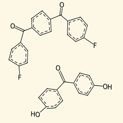 O=C(c1ccc(F)cc1)c1ccc(C(=O)c2ccc(F)cc2)cc1.O=C(c1ccc(O)cc1)c1ccc(O)cc1